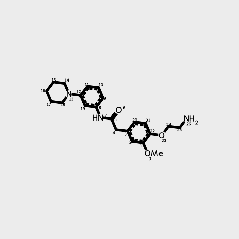 COc1cc(CC(=O)Nc2cccc(N3CCCCC3)c2)ccc1OCCN